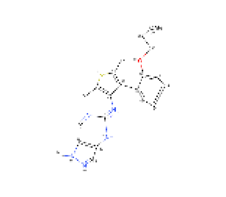 C=N/C(=N\c1c(C)sc(C)c1-c1ccccc1OCCOC)Nc1cnn(C)c1